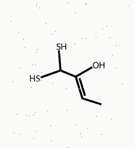 CC=C(O)C(S)S